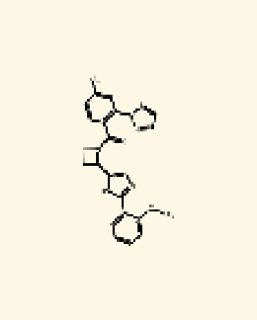 O=C(c1ccc(C(F)(F)F)cc1-n1nccn1)N1CCC1c1nnc(-c2ccccc2OC(F)(F)F)[nH]1